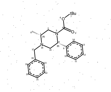 C[C@@H]1CN(C(=O)OC(C)(C)C)[C@H](c2ccccc2)CN1Cc1ccccc1